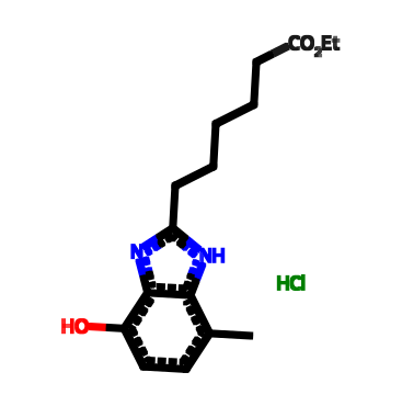 CCOC(=O)CCCCCc1nc2c(O)ccc(C)c2[nH]1.Cl